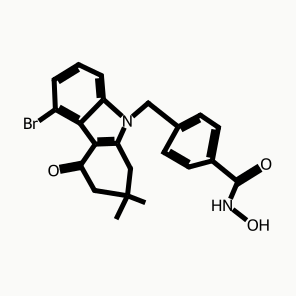 CC1(C)CC(=O)c2c(n(Cc3ccc(C(=O)NO)cc3)c3cccc(Br)c23)C1